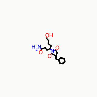 NC(=O)CCC(CCCCO)N1C(=O)C/C(=C\c2ccccc2)C1=O